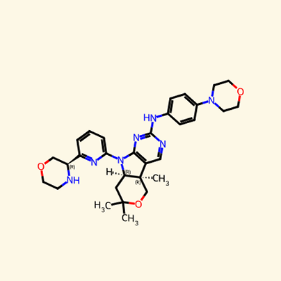 CC1(C)C[C@H]2N(c3cccc([C@@H]4COCCN4)n3)c3nc(Nc4ccc(N5CCOCC5)cc4)ncc3[C@@]2(C)CO1